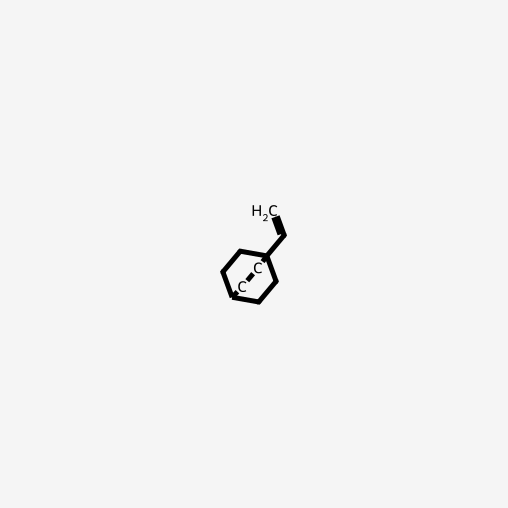 C=CC12CCC(CC1)CC2